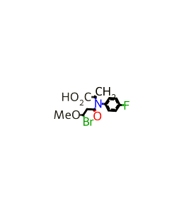 C=C(C(=O)O)N(C(=O)CC(Br)OC)c1ccc(F)cc1